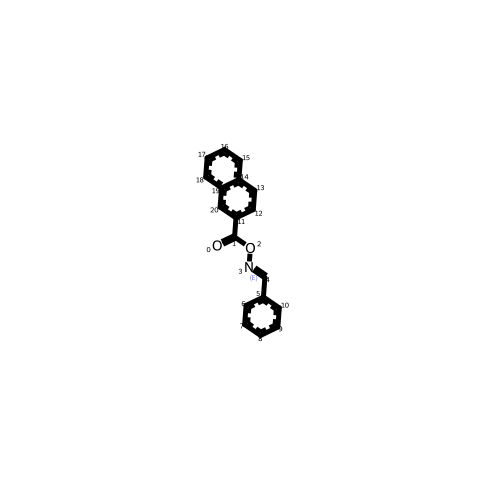 O=C(O/N=C/c1ccccc1)c1ccc2ccccc2c1